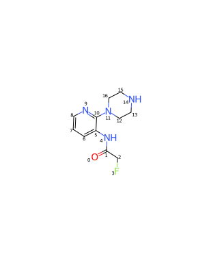 O=C(CF)Nc1cccnc1N1CCNCC1